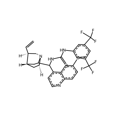 C=C[C@H]1C[N@]2CC[C@H]1C[C@@H]2C(NC(=S)Nc1cc(C(F)(F)F)cc(C(F)(F)F)c1)c1ccnc2ccc(OC)cc12